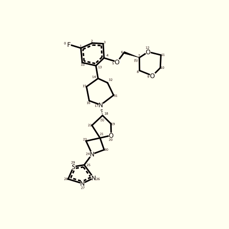 Fc1ccc(OC[C@@H]2COCCO2)c(C2CCN([C@@H]3COC4(C3)CN(c3nncs3)C4)CC2)c1